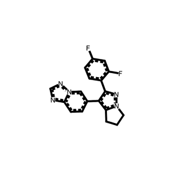 Fc1ccc(-c2nn3c(c2-c2ccc4ncnn4c2)CCC3)c(F)c1